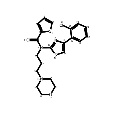 O=C(c1cccs1)N(CCCN1CCOCC1)c1nc(-c2ccccc2Cl)cs1